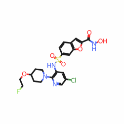 O=C(NO)c1cc2ccc(S(=O)(=O)Nc3cc(Cl)cnc3N3CCC(OCCF)CC3)cc2o1